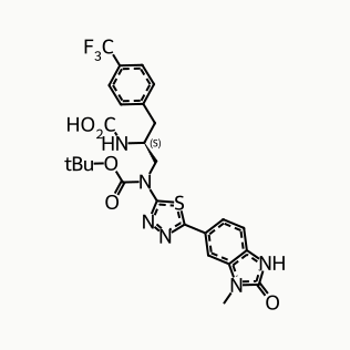 Cn1c(=O)[nH]c2ccc(-c3nnc(N(C[C@H](Cc4ccc(C(F)(F)F)cc4)NC(=O)O)C(=O)OC(C)(C)C)s3)cc21